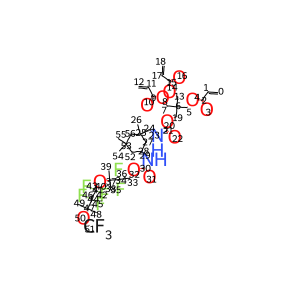 C=CC(=O)OCC(COC(=O)C=C)(COC(=O)C=C)COC(=O)NCC1(C)CC(NC(=O)OCC(F)(F)C(C)(C)OC(F)(F)C(F)(F)C(C)(C)OC(F)(F)F)CC(C)(C)C1